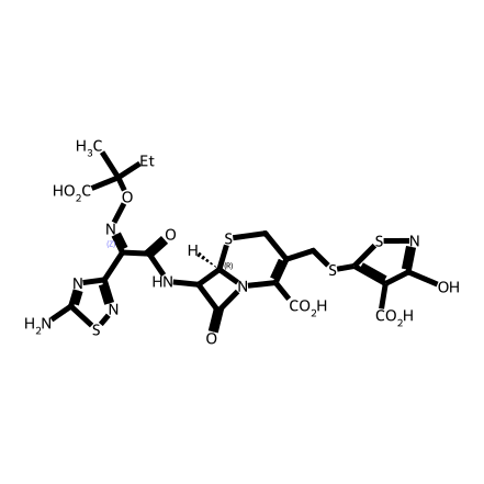 CCC(C)(O/N=C(\C(=O)NC1C(=O)N2C(C(=O)O)=C(CSc3snc(O)c3C(=O)O)CS[C@H]12)c1nsc(N)n1)C(=O)O